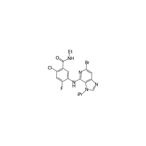 CCNC(=O)c1cc(Nc2nc(Br)cc3ncn(C(C)C)c23)c(F)cc1Cl